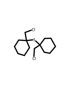 ClCC1(SC2(CCl)CCCCC2)CCCCC1